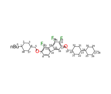 CCCCC1CCC(COc2ccc3c(c2F)-c2c-3cc(OCC3CCC(C4CCC(C)CC4)CC3)c(F)c2F)CC1